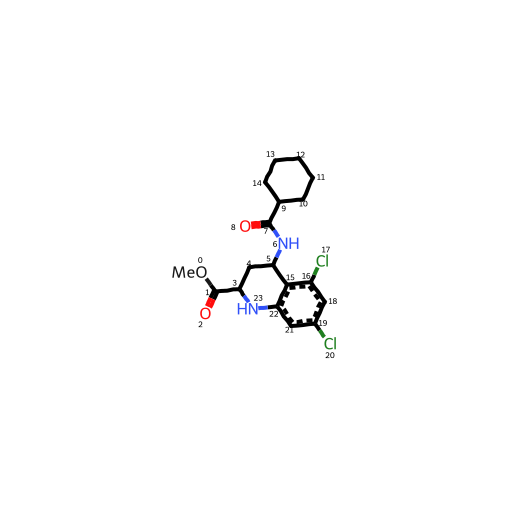 COC(=O)C1CC(NC(=O)C2CCCCC2)c2c(Cl)cc(Cl)cc2N1